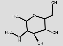 CNC1C(O)OC(CO)[C@H](O)[C@H]1O